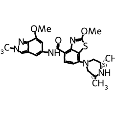 COc1nc2c(C(=O)Nc3cc(OC)c4nn(C)cc4c3)ccc(N3C[C@H](C)N[C@@H](C)C3)c2s1